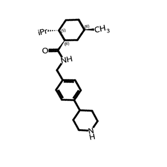 CC(C)[C@@H]1CC[C@@H](C)C[C@H]1C(=O)NCc1ccc(C2CCNCC2)cc1